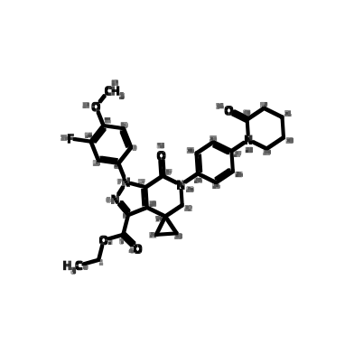 CCOC(=O)c1nn(-c2ccc(OC)c(F)c2)c2c1C1(CC1)CN(c1ccc(N3CCCCC3=O)cc1)C2=O